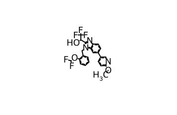 COc1ccc(-c2ccc3nc(C(O)C(F)(F)F)n(Cc4ccccc4OC(F)F)c3c2)cn1